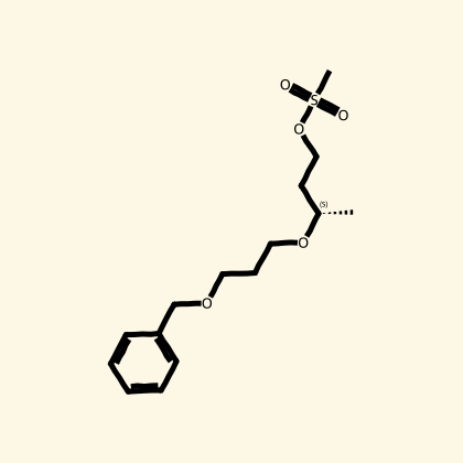 C[C@@H](CCOS(C)(=O)=O)OCCCOCc1ccccc1